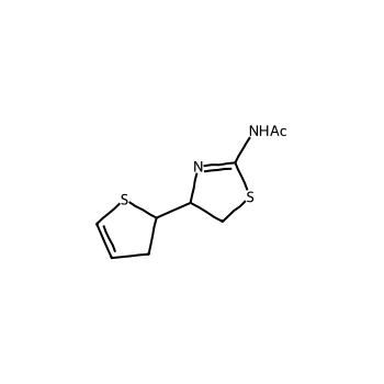 CC(=O)NC1=NC(C2CC=CS2)CS1